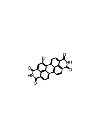 O=C1NC(=O)c2ccc3c4c(Br)cc5c6c(ccc(c7ccc1c2c73)c64)C(=O)NC5=O